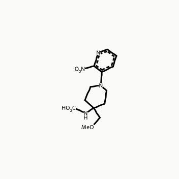 COCC1(NC(=O)O)CCN(c2cccnc2[N+](=O)[O-])CC1